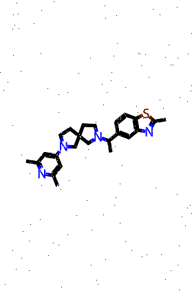 Cc1cc(N2CCC3(CCN(C(C)c4ccc5sc(C)nc5c4)C3)C2)cc(C)n1